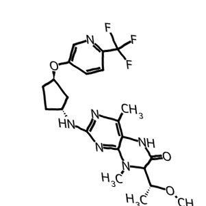 CO[C@H](C)C1C(=O)Nc2c(C)nc(N[C@@H]3CC[C@@H](Oc4ccc(C(F)(F)F)nc4)C3)nc2N1C